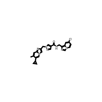 Cc1cc2nc(Cn3cc(C(=O)NCc4ncn5ccc(Cl)cc45)cn3)cn2cc1C1CC1